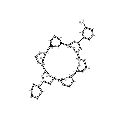 Cc1cccc(-c2nc3nc(n2)c2cccc(c2)c2cccc(c2)c2nc(-c4ccccc4)nc(n2)c2cccc(c2)c2cccc3c2)c1